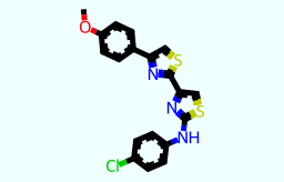 COc1ccc(-c2csc(-c3csc(Nc4ccc(Cl)cc4)n3)n2)cc1